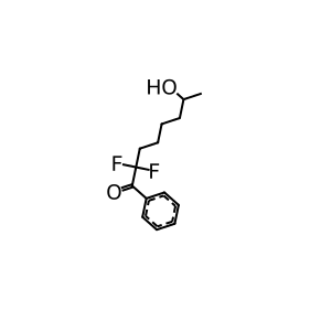 CC(O)CCCCC(F)(F)C(=O)c1ccccc1